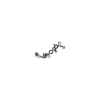 Cc1cc(NCCN(C)C)cc2c1CN(C1CCC(C(=O)Nc3ccn(CCO[Si](C)(C)C(C)(C)C)n3)CC1)C2=O